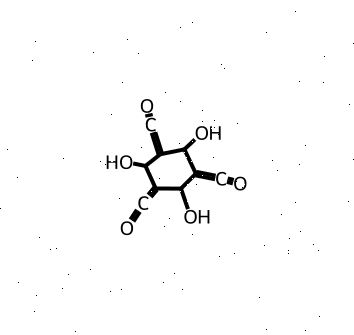 O=C=C1C(O)C(=C=O)C(O)C(=C=O)C1O